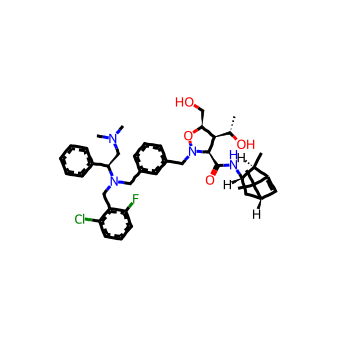 C[C@H](O)[C@@H]1[C@H](CO)ON(Cc2cccc(CN(Cc3c(F)cccc3Cl)[C@H](CN(C)C)c3ccccc3)c2)[C@@H]1C(=O)N[C@H]1C[C@H]2C=C([C@@H]1C)C2(C)C